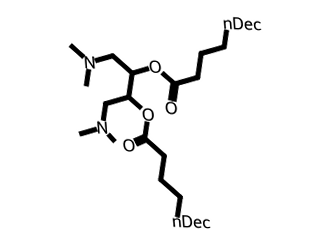 CCCCCCCCCCCCCC(=O)OC(CN(C)C)C(CN(C)C)OC(=O)CCCCCCCCCCCCC